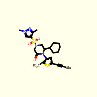 Cc1nn(C)cc1S(=O)(=O)N1CC(=O)N(c2cc(C#CC(C)(C)C)sc2C(=O)O)C(C2CCCCC2)C1